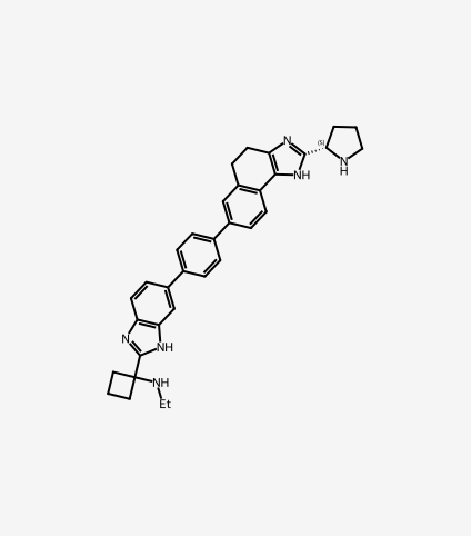 CCNC1(c2nc3ccc(-c4ccc(-c5ccc6c(c5)CCc5nc([C@@H]7CCCN7)[nH]c5-6)cc4)cc3[nH]2)CCC1